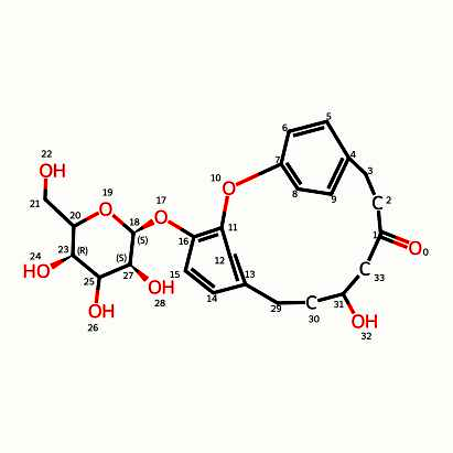 O=C1CCc2ccc(cc2)Oc2cc(ccc2O[C@@H]2OC(CO)[C@H](O)C(O)[C@@H]2O)CCC(O)C1